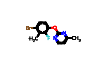 [CH2]c1c(Br)ccc(Oc2nccc(C)n2)c1F